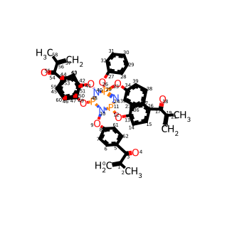 C=C(C)C(=O)c1ccc(ON2P(Oc3ccc(C(=O)C(=C)C)cc3)N=P(Oc3ccccc3)(Oc3ccccc3)N(Oc3ccccc3)P2Oc2ccc(C(=O)C(=C)C)cc2)cc1